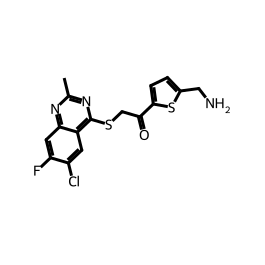 Cc1nc(SCC(=O)c2ccc(CN)s2)c2cc(Cl)c(F)cc2n1